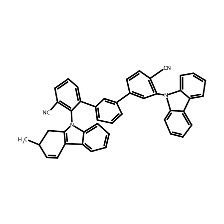 CC1C=Cc2c(n(-c3c(C#N)cccc3-c3cccc(-c4ccc(C#N)c(-n5c6ccccc6c6ccccc65)c4)c3)c3ccccc23)C1